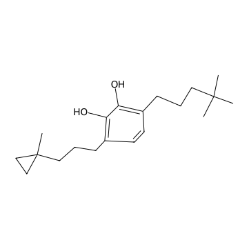 CC(C)(C)CCCc1ccc(CCCC2(C)CC2)c(O)c1O